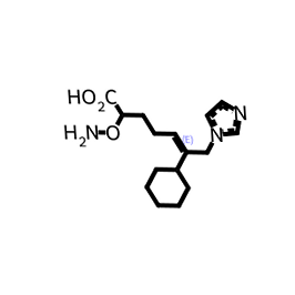 NOC(CC/C=C(/Cn1ccnc1)C1CCCCC1)C(=O)O